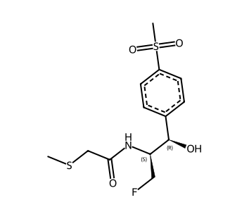 CSCC(=O)N[C@H](CF)[C@H](O)c1ccc(S(C)(=O)=O)cc1